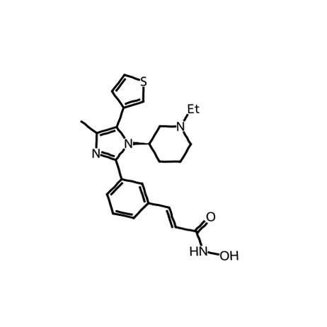 CCN1CCC[C@@H](n2c(-c3cccc(/C=C/C(=O)NO)c3)nc(C)c2-c2ccsc2)C1